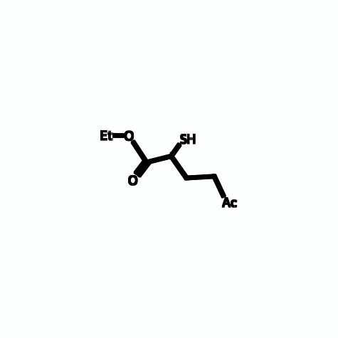 CCOC(=O)[C](S)CCC(C)=O